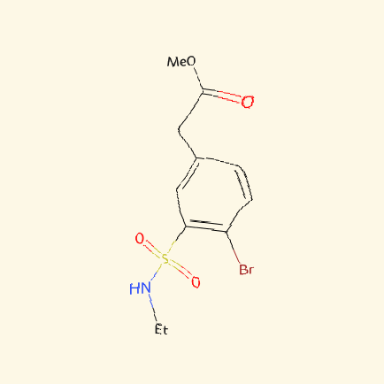 CCNS(=O)(=O)c1cc(CC(=O)OC)ccc1Br